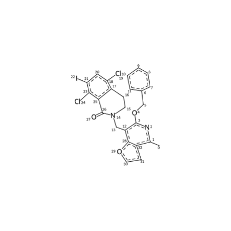 Cc1nc(OCc2ccccc2)c(CN2CCc3c(Cl)cc(I)c(Cl)c3C2=O)c2occc12